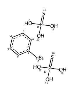 CCCCc1ccccc1.OP(O)(O)=S.OP(O)(O)=S